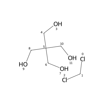 ClCCl.OCC(CO)(CO)CO